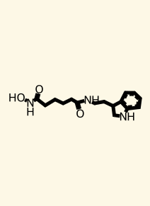 O=C(CCCCC(=O)NCCC1CNc2ccccc21)NO